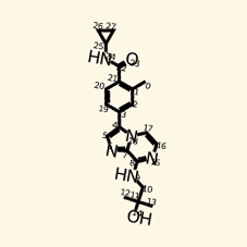 Cc1cc(-c2cnc3c(NCC(C)(C)O)nccn23)ccc1C(=O)NC1CC1